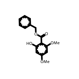 COc1cc(O)c(C(=O)OCc2ccccc2)c(OC)c1